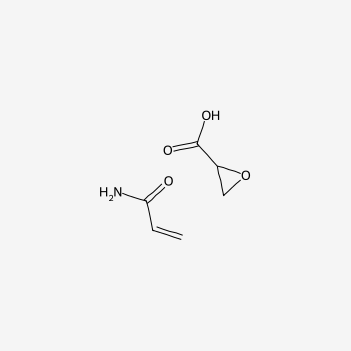 C=CC(N)=O.O=C(O)C1CO1